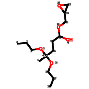 CCCO[Si](C)(CCC(O)OCC1CO1)OCCC